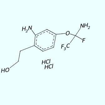 Cl.Cl.Nc1cc(OC(N)(F)C(F)(F)F)ccc1CCO